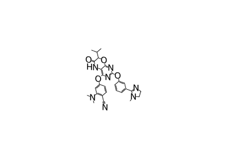 CC(C)C1Oc2nc(Oc3cccc(C4=NCCN4C)c3)nc(Oc3ccc(C#N)c(N(C)C)c3)c2NC1=O